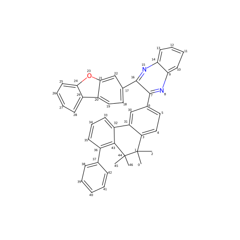 CC1(C)c2ccc(-c3nc4ccccc4nc3-c3ccc4c(c3)oc3ccccc34)cc2-c2cccc(-c3ccccc3)c2C1(C)C